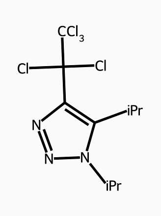 CC(C)c1c(C(Cl)(Cl)C(Cl)(Cl)Cl)nnn1C(C)C